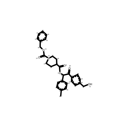 Cc1ccc(C(OC(=O)C2CCN(C(=O)OCc3ccccc3)CC2)C(=O)c2ccc(CO)cc2)cc1